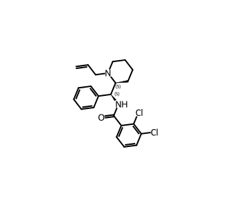 C=CCN1CCCC[C@H]1[C@@H](NC(=O)c1cccc(Cl)c1Cl)c1ccccc1